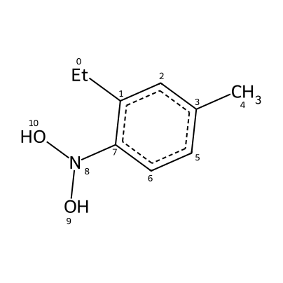 CCc1cc(C)ccc1N(O)O